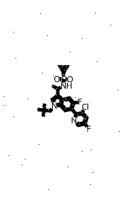 CC(NS(=O)(=O)C1CC1)c1cn(CC(C)(C)C)c2cc(-c3ncc(F)cc3Cl)c(F)cc12